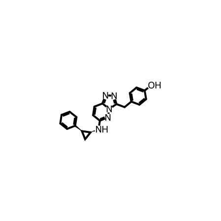 Oc1ccc(Cc2nnc3ccc(N[C@@H]4C[C@H]4c4ccccc4)nn23)cc1